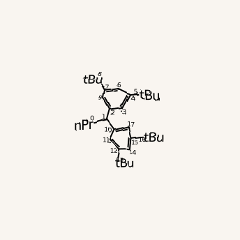 CCCC(c1[c]c(C(C)(C)C)cc(C(C)(C)C)c1)c1[c]c(C(C)(C)C)cc(C(C)(C)C)c1